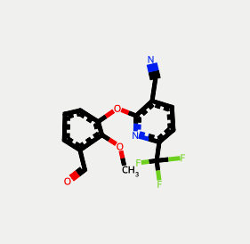 COc1c(C=O)cccc1Oc1nc(C(F)(F)F)ccc1C#N